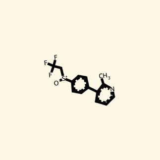 Cc1ncccc1-c1ccc([S+]([O-])CC(F)(F)F)cc1